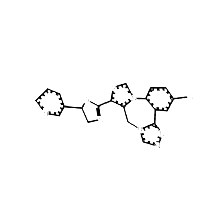 Clc1ccc2c(c1)-c1nncn1Cc1c(C3=NCC(c4cccnc4)O3)ncn1-2